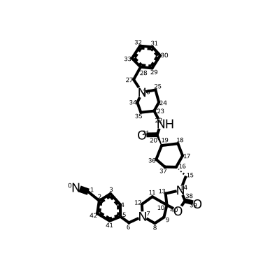 N#Cc1ccc(CN2CCC3(CC2)CN(C[C@H]2CC[C@H](C(=O)NC4CCN(Cc5ccccc5)CC4)CC2)C(=O)O3)cc1